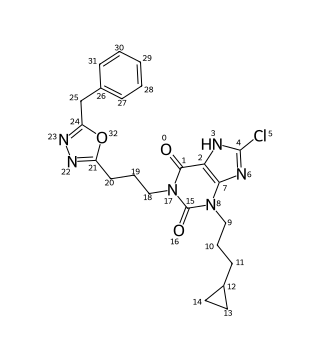 O=c1c2[nH]c(Cl)nc2n(CCCC2CC2)c(=O)n1CCCc1nnc(Cc2ccccc2)o1